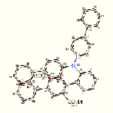 CCOC(=O)c1cc(-c2ccccc2N(c2ccc(-c3ccccc3)cc2)c2ccc(-c3ccccc3)cc2)c(C(=O)OCC)cc1-c1ccccc1